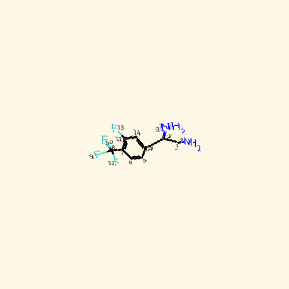 NCC(N)c1ccc(C(F)(F)F)c(F)c1